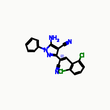 N#C/C(=C\c1c(Cl)cccc1Cl)c1nn(-c2ccccc2)c(N)c1C#N